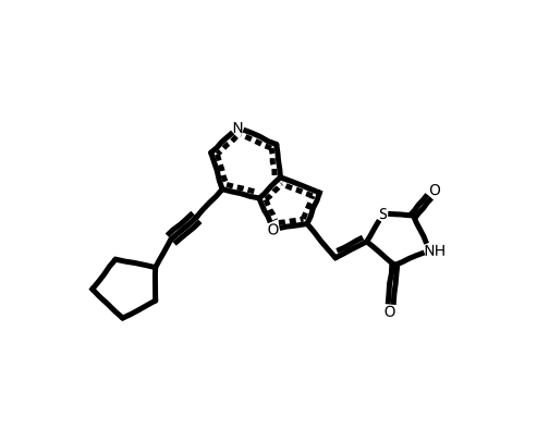 O=C1NC(=O)/C(=C/c2cc3cncc(C#CC4CCCC4)c3o2)S1